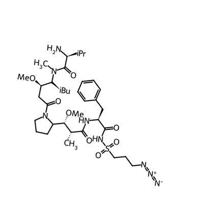 CC[C@H](C)C([C@@H](CC(=O)N1CCCC1[C@H](OC)[C@@H](C)C(=O)N[C@@H](Cc1ccccc1)C(=O)NS(=O)(=O)CCCN=[N+]=[N-])OC)N(C)C(=O)[C@@H](N)C(C)C